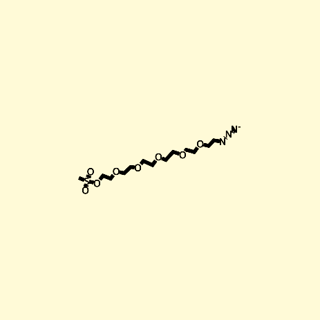 CS(=O)(=O)OCCOCCOCCOCCOCCOCCN=[N+]=[N-]